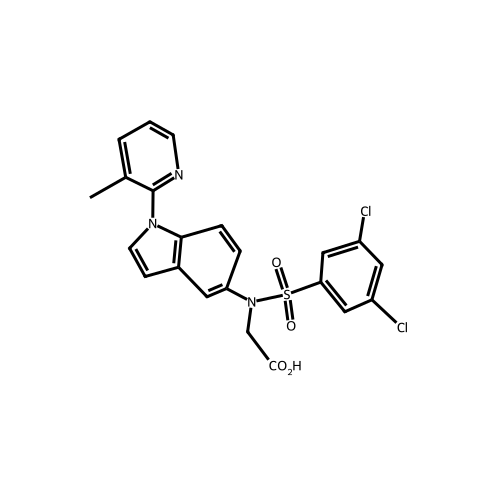 Cc1cccnc1-n1ccc2cc(N(CC(=O)O)S(=O)(=O)c3cc(Cl)cc(Cl)c3)ccc21